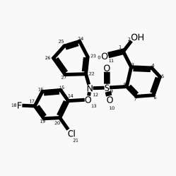 O=C(O)c1ccccc1S(=O)(=O)N(Oc1ccc(F)cc1Cl)c1ccccc1